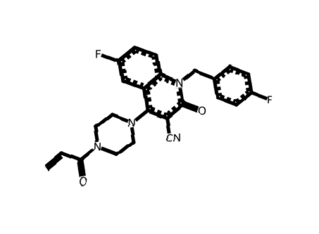 C=CC(=O)N1CCN(c2c(C#N)c(=O)n(Cc3ccc(F)cc3)c3ccc(F)cc23)CC1